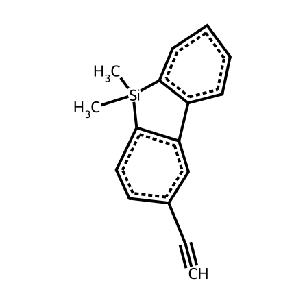 C#Cc1ccc2c(c1)-c1ccccc1[Si]2(C)C